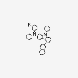 Fc1cccc(N(c2ccccc2)c2ccc3c4c(-c5ccc6ccccc6c5)cccc4n(-c4ccccc4)c3c2)c1